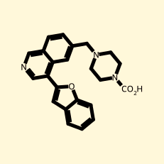 O=C(O)N1CCN(Cc2ccc3cncc(-c4cc5ccccc5o4)c3c2)CC1